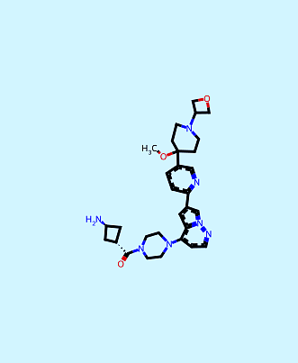 COC1(c2ccc(-c3cc4c(N5CCN(C(=O)[C@H]6C[C@H](N)C6)CC5)ccnn4c3)nc2)CCN(C2COC2)CC1